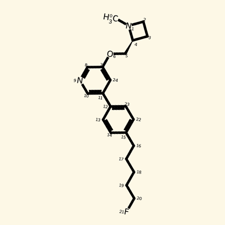 CN1CC[C@H]1COc1cncc(-c2ccc(CCCCCF)cc2)c1